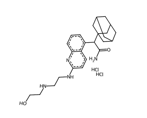 Cl.Cl.NC(=O)C(c1cccc2nc(NCCNCCO)ccc12)C12CC3CC(CC(C3)C1)C2